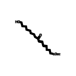 CCCCCCCCCCCCCC=CC=CC(=O)CCCCCCCCO